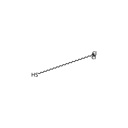 C[Si](Cl)(Cl)CCCCCCCCCCCCCCCCCCCCCCCCCCCCCCCCCCCS